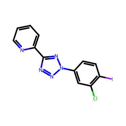 Clc1cc(-n2nnc(-c3ccccn3)n2)ccc1I